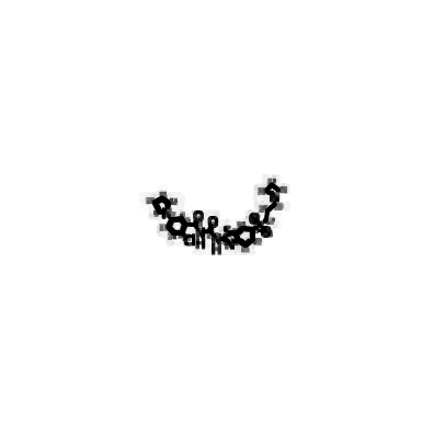 O=C(NC(=O)c1cc(-n2cccc2)ccc1Cl)Nc1nc2ccc(S(=O)(=O)CCCN3CCC3)cc2s1